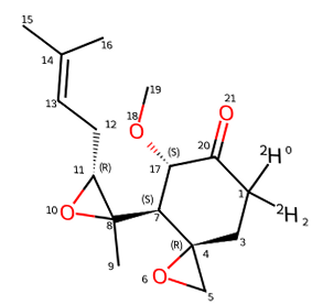 [2H]C1([2H])C[C@]2(CO2)[C@@H](C2(C)O[C@@H]2CC=C(C)C)[C@H](OC)C1=O